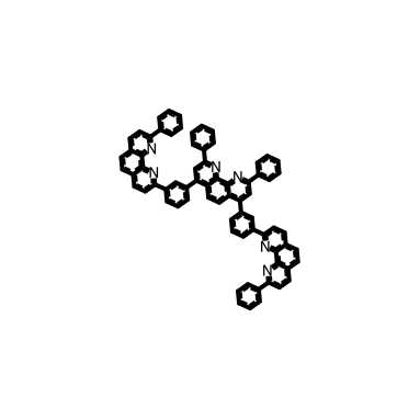 c1ccc(-c2ccc3ccc4ccc(-c5cccc(-c6cc(-c7ccccc7)nc7c6ccc6c(-c8cccc(-c9ccc%10ccc%11ccc(-c%12ccccc%12)nc%11c%10n9)c8)cc(-c8ccccc8)nc67)c5)nc4c3n2)cc1